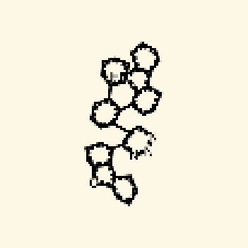 c1ccc(-c2cccc(-c3cnnnc3-c3cccc4oc5ccccc5c34)c2-c2cccc3c2[nH]c2ccccc23)cc1